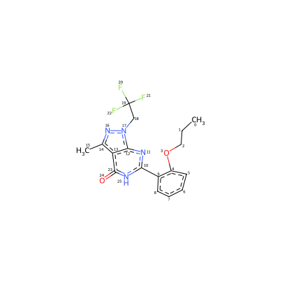 CCCOc1ccccc1-c1nc2c(c(C)nn2CC(F)(F)F)c(=O)[nH]1